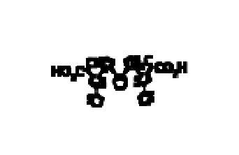 C=C(C(=O)O)c1cc(-c2cccs2)sc1-c1sccc1C1C2C=CC(C2)C1c1ccsc1-c1sc(-c2cccs2)cc1C(=C)C(=O)O